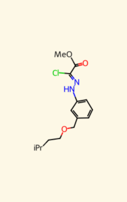 COC(=O)C(Cl)=NNc1cccc(COCCC(C)C)c1